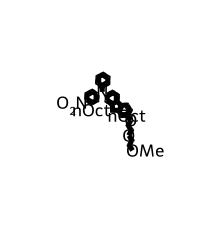 CCCCCCCCC1(CCCCCCCC)c2cc(OCCOCCOC)ccc2-c2ccc(N(c3ccccc3)c3ccc([N+](=O)[O-])cc3)cc21